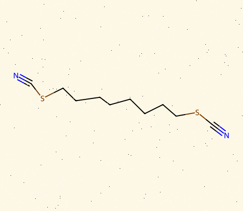 N#CSCCCCCCCCSC#N